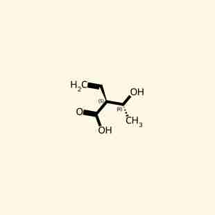 C=C[C@H](C(=O)O)[C@@H](C)O